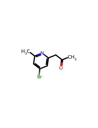 CC(=O)Cc1cc(Br)cc(C)n1